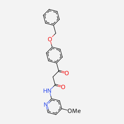 COc1ccnc(NC(=O)CC(=O)c2ccc(OCc3ccccc3)cc2)c1